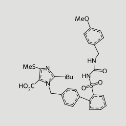 CCC(C)c1nc(SC)c(C(=O)O)n1Cc1ccc(-c2ccccc2S(=O)(=O)NC(=O)NCc2ccc(OC)cc2)cc1